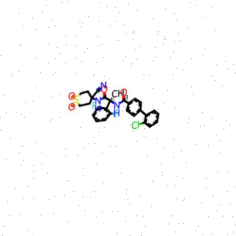 C[C@@](NC(=O)c1ccc(-c2ccccc2Cl)cc1)(C(=O)NC1(C#N)CCS(=O)(=O)CC1)c1c(F)cccc1F